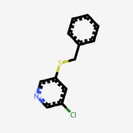 Clc1cncc(SCc2ccccc2)c1